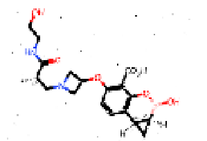 C[C@@H](CN1CC(Oc2ccc3c(c2C(=O)O)OB(O)[C@H]2C[C@@H]32)C1)C(=O)NCCO